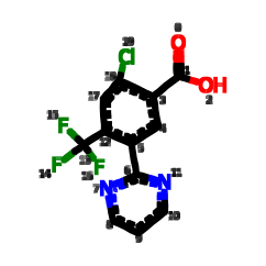 O=C(O)c1cc(-c2ncccn2)c(C(F)(F)F)cc1Cl